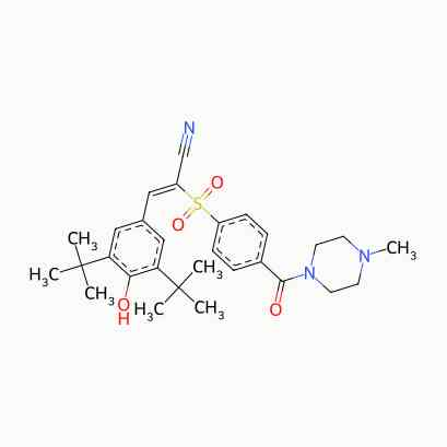 CN1CCN(C(=O)c2ccc(S(=O)(=O)/C(C#N)=C\c3cc(C(C)(C)C)c(O)c(C(C)(C)C)c3)cc2)CC1